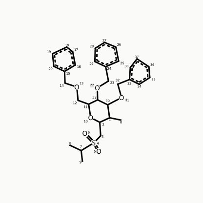 CC1C(CS(=O)(=O)C(C)C)OC(COCc2ccccc2)C(OCc2ccccc2)C1OCc1ccccc1